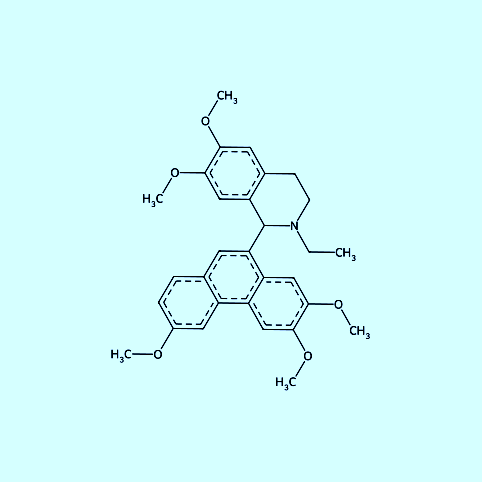 CCN1CCc2cc(OC)c(OC)cc2C1c1cc2ccc(OC)cc2c2cc(OC)c(OC)cc12